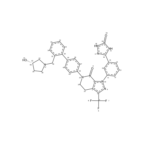 O=C1c2c(c(C(F)(F)F)nn2-c2cccc(-c3n[nH]c(=O)[nH]3)c2)CCN1c1ccc(-c2ccccc2CN2CC[C@H](O)C2)cc1